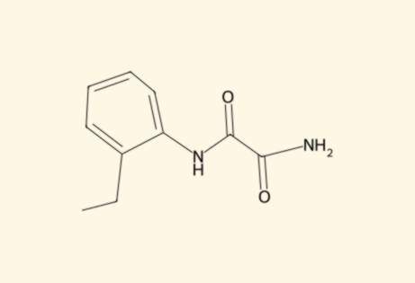 CCc1ccccc1NC(=O)C(N)=O